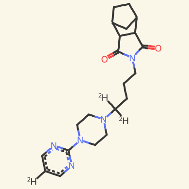 [2H]c1cnc(N2CCN(C([2H])([2H])CCCN3C(=O)C4C5CCC(C5)C4C3=O)CC2)nc1